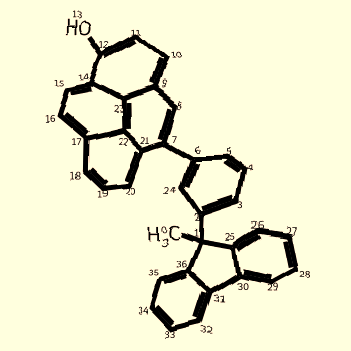 CC1(c2cccc(-c3cc4ccc(O)c5ccc6cccc3c6c45)c2)c2ccccc2-c2ccccc21